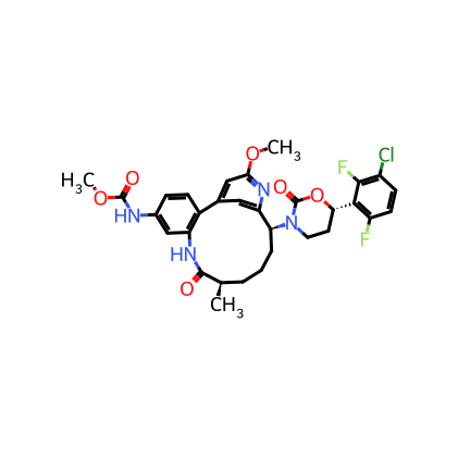 COC(=O)Nc1ccc2c(c1)NC(=O)[C@H](C)CCC[C@H](N1CC[C@@H](c3c(F)ccc(Cl)c3F)OC1=O)c1cc-2cc(OC)n1